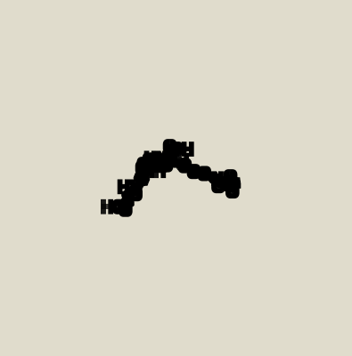 CC(CC(=O)O)CC(C)CC(=O)NCC1CCC(C(=O)NC(CCC(=O)NC(CCC(=O)O)C(=O)NCCCOCCOCCOCCCNC(=O)CCN2C(=O)C=CC2=O)C(=O)O)CC1